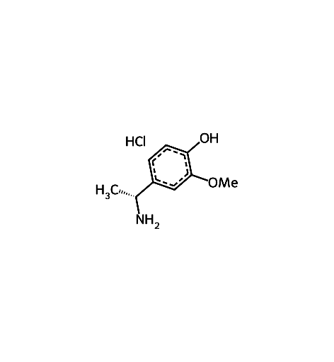 COc1cc([C@@H](C)N)ccc1O.Cl